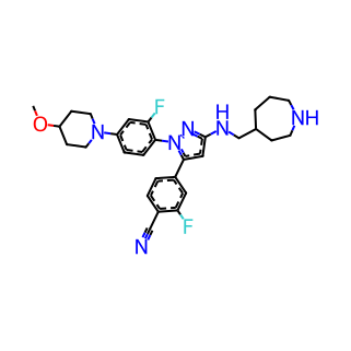 COC1CCN(c2ccc(-n3nc(NCC4CCCNCC4)cc3-c3ccc(C#N)c(F)c3)c(F)c2)CC1